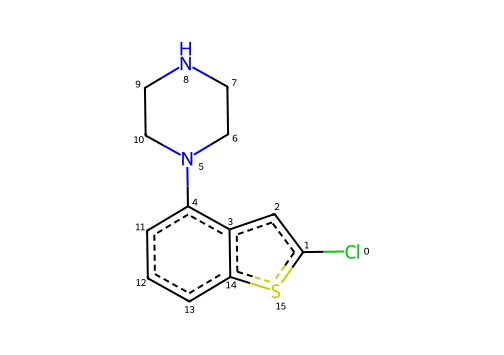 Clc1cc2c(N3CCNCC3)cccc2s1